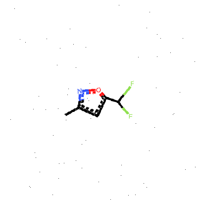 Cc1[c]c(C(F)F)on1